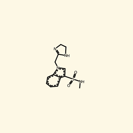 CNS(=O)(=O)c1cn(CC2=NCCN2)c2ccccc12